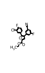 CCOC(=O)c1cc(-c2cc(F)cc(C#N)c2)c(-c2ccc(F)c(Cl)c2)o1